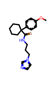 COc1ccc(C2(C(=S)NCCCn3ccnc3)CCCCC2)cc1